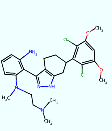 COc1cc(OC)c(Cl)c(C2CCc3c(-c4c(N)cccc4N(C)CCN(C)C)n[nH]c3C2)c1Cl